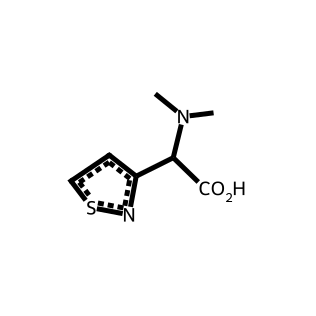 CN(C)C(C(=O)O)c1ccsn1